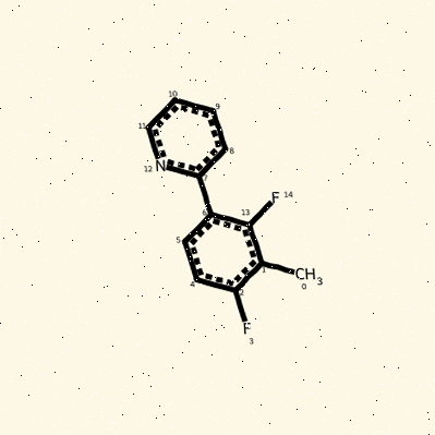 Cc1c(F)ccc(-c2ccccn2)c1F